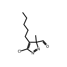 CCCCCC1=C(Cl)N=NC1(C)C=O